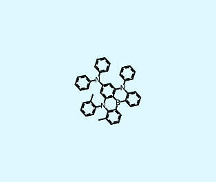 Cc1ccccc1N1c2cc(N(c3ccccc3)c3ccccc3)cc3c2B(c2ccccc2N3c2ccccc2)c2cccc(C)c21